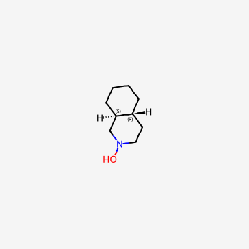 ON1CC[C@H]2CCCC[C@@H]2C1